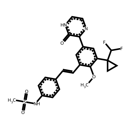 COc1c(C=Cc2ccc(NS(C)(=O)=O)cc2)cc(-c2ncc[nH]c2=O)cc1C1(C(F)F)CC1